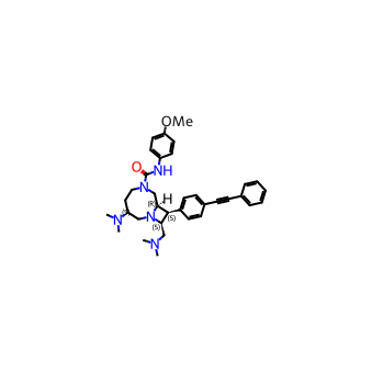 COc1ccc(NC(=O)N2CC[C@H](N(C)C)CN3[C@H](CN(C)C)[C@H](c4ccc(C#Cc5ccccc5)cc4)[C@@H]3C2)cc1